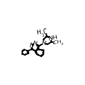 CC1CN(c2nnc(-c3ccccc3)c3ccccc23)CC(C)N1